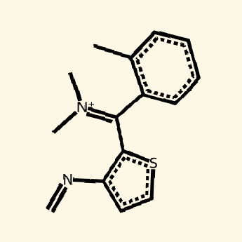 C=Nc1ccsc1C(c1ccccc1C)=[N+](C)C